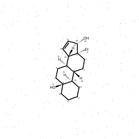 CC[C@]12CC[C@H]3[C@@H](CC[C@@]4(O)CCCC[C@H]34)[C@@H]1C=C[C@@H]2O